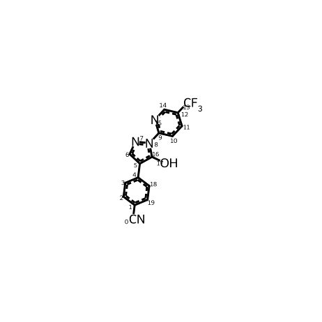 N#Cc1ccc(-c2cnn(-c3ccc(C(F)(F)F)cn3)c2O)cc1